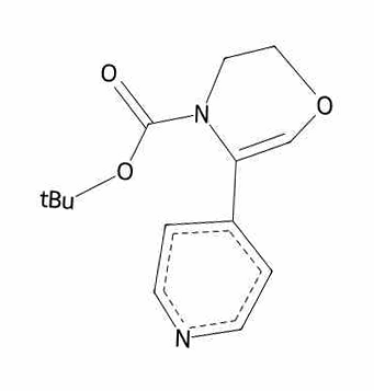 CC(C)(C)OC(=O)N1CCOC=C1c1ccncc1